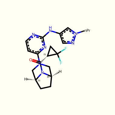 CCCn1cc(Nc2nccc(N3C[C@H]4CC[C@@H](C3)N4C(=O)[C@@H]3CC3(F)F)n2)cn1